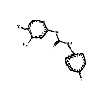 N#Cc1ccc(NC(=O)Nc2ccc(F)cc2)cc1C(F)(F)F